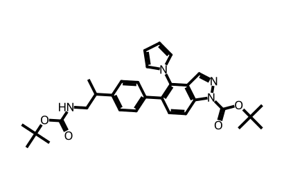 CC(CNC(=O)OC(C)(C)C)c1ccc(-c2ccc3c(cnn3C(=O)OC(C)(C)C)c2-n2cccc2)cc1